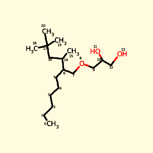 CCCCCCC(COCC(O)CO)C(C)CC(C)(C)C